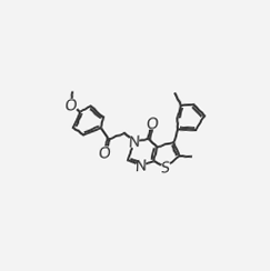 COc1ccc(C(=O)Cn2cnc3sc(C)c(-c4cccc(C)c4)c3c2=O)cc1